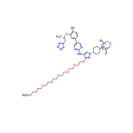 COCCOCCOCCOCCOCCOCCOCCOc1nn([C@H]2CC[C@H](N3[C@@H]4CC[C@H]3COC4)CC2)cc1Nc1ncc(-c2ccc(C#N)c(O[C@@H](C)Cn3cnnn3)c2)cn1